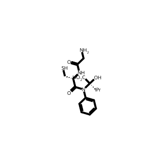 CC(C)[C@@](O)(C(=O)O)N(C(=O)[C@H](CS)NC(=O)CN)c1ccccc1